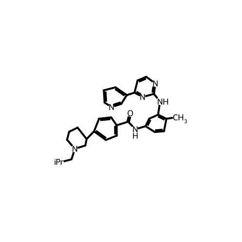 Cc1ccc(NC(=O)c2ccc(C3CCCN(CC(C)C)C3)cc2)cc1Nc1nccc(-c2cccnc2)n1